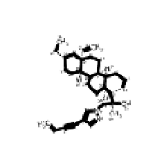 C=CC#Cc1cnn(C[C@](C)(O)[C@H]2CCCC3[C@@H]4CC[C@]5(C=C)C[C@@H](CC)CC[C@@H]5C4CC[C@@]32C)c1